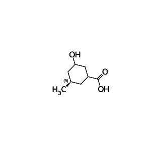 C[C@H]1CC(O)CC(C(=O)O)C1